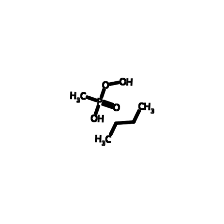 CCCC.CP(=O)(O)OO